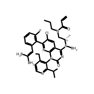 BC(B)=Cc1cccc(F)c1-c1nc2c(cc1Cl)c(N(B)[C@@H](C)CN(CCC)C(=O)C=C)nc(=O)n2-c1c(CC)ccnc1C(C)C